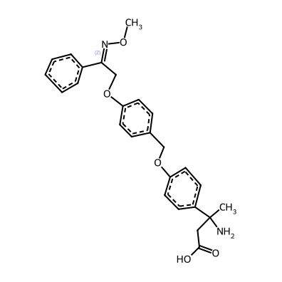 CO/N=C(\COc1ccc(COc2ccc(C(C)(N)CC(=O)O)cc2)cc1)c1ccccc1